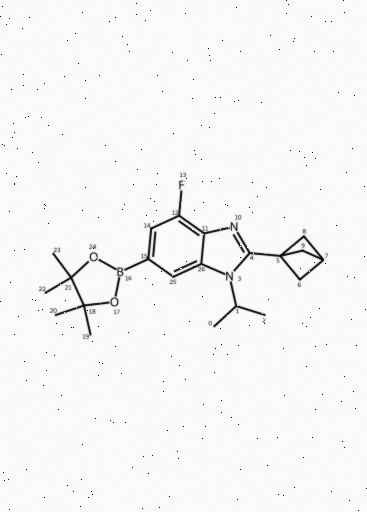 CC(C)n1c(C23CC(C2)C3)nc2c(F)cc(B3OC(C)(C)C(C)(C)O3)cc21